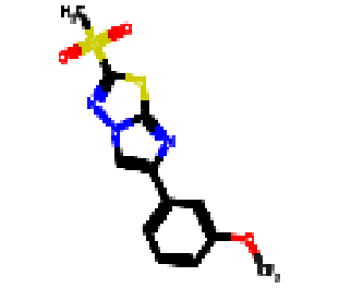 CS(=O)(=O)c1nn2cc(-c3cccc(OC(F)(F)F)c3)nc2s1